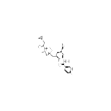 Cc1ccc(C(=O)Nc2cc(C#N)cc(CN3CCN(C(=O)CC4CC4)C(C)C3)c2C)cn1